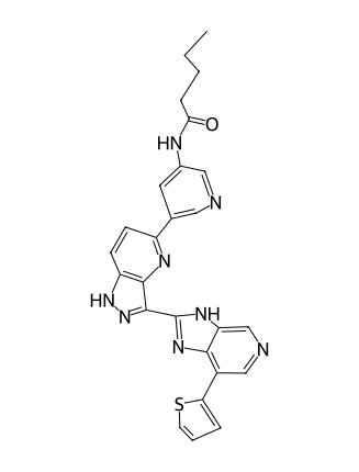 CCCCC(=O)Nc1cncc(-c2ccc3[nH]nc(-c4nc5c(-c6cccs6)cncc5[nH]4)c3n2)c1